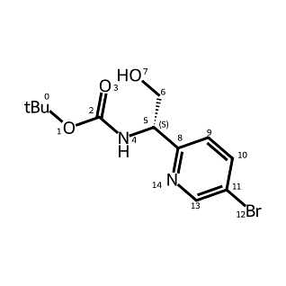 CC(C)(C)OC(=O)N[C@H](CO)c1ccc(Br)cn1